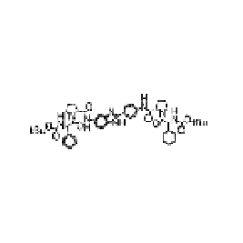 CC(C)(C)OC(=O)N[C@@H](C(=O)N1CCCC1C(=O)Nc1ccc2[nH]c(-c3ccc(NC(=O)[C@@H]4CCCN4C(=O)[C@H](NC(=O)OC(C)(C)C)c4ccccc4)cc3)nc2c1)c1ccccc1